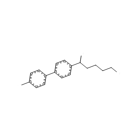 OC(CCCCS)c1ccc(-c2ccc(Cl)cc2)cc1